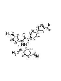 C[C@@H](CN[C@@H](C(=O)Nc1ccc(-c2cnn(C(F)F)c2)cn1)c1cnn(C)c1)c1ccc(C#N)cc1